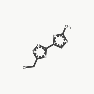 Cc1nc(-c2nc(CCl)no2)cs1